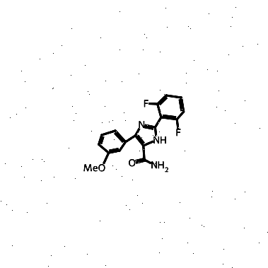 COc1cccc(-c2nc(-c3c(F)cccc3F)[nH]c2C(N)=O)c1